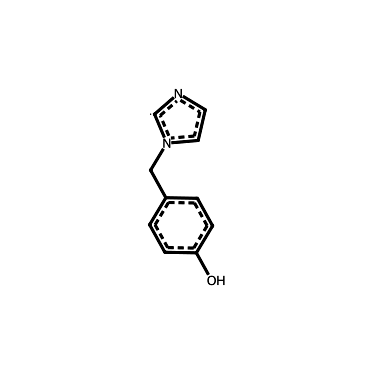 Oc1ccc(Cn2[c]ncc2)cc1